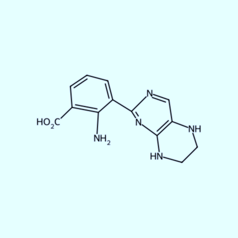 Nc1c(C(=O)O)cccc1-c1ncc2c(n1)NCCN2